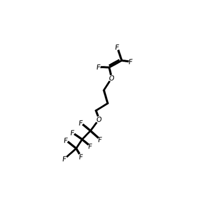 FC(F)=C(F)OCCCOC(F)(F)C(F)(F)C(F)(F)F